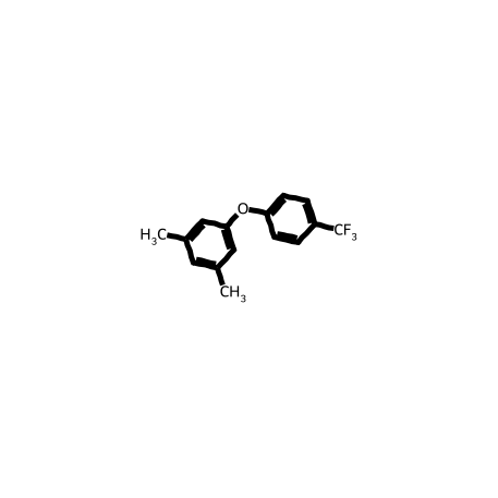 Cc1cc(C)cc(Oc2ccc(C(F)(F)F)cc2)c1